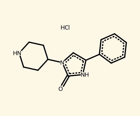 Cl.O=c1[nH]c(-c2ccccc2)cn1C1CCNCC1